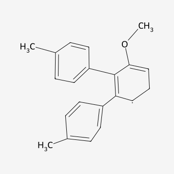 COC1=CC[CH]C(c2ccc(C)cc2)=C1c1ccc(C)cc1